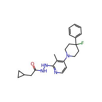 Cc1c(N2CCC(F)(c3ccccc3)CC2)ccnc1NNC(=O)CC1CC1